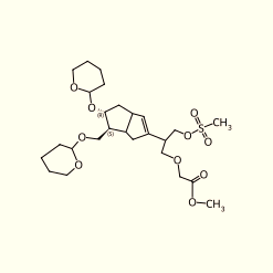 COC(=O)COCC(COS(C)(=O)=O)C1=CC2C[C@@H](OC3CCCCO3)[C@H](COC3CCCCO3)C2C1